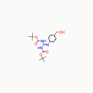 CC(C)(C)OC(=O)NC(=Nc1ccc(CO)cc1)NC(=O)OC(C)(C)C